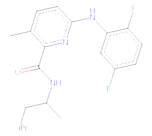 Cc1ccc(Nc2cc(F)ccc2F)nc1C(=O)NC(C)CC(C)C